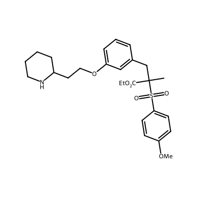 CCOC(=O)C(C)(Cc1cccc(OCCC2CCCCN2)c1)S(=O)(=O)c1ccc(OC)cc1